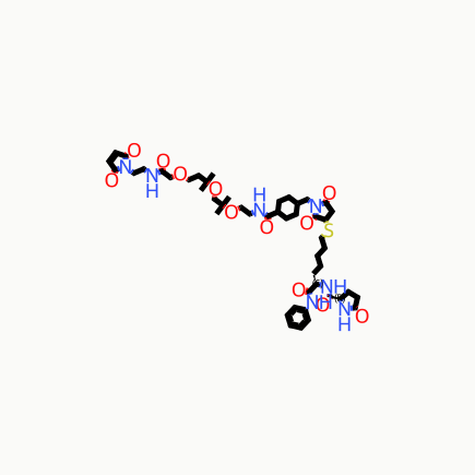 CC(C)(CCOCC(=O)NCCN1C(=O)C=CC1=O)OCC(C)(C)OCCNC(=O)C1CCC(CN2C(=O)CC(SCCCCC[C@H](NC(=O)[C@H]3CCC(=O)N3)C(=O)Nc3ccccc3)C2=O)CC1